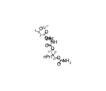 CC(=O)OC1CC(C)OC(C)O1.CCCC(C)(COC(N)=O)COC(=O)NC(C)C